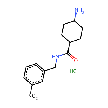 Cl.N[C@H]1CC[C@@H](C(=O)NCc2cccc([N+](=O)[O-])c2)CC1